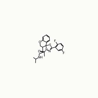 CC(=O)N1N=C(c2cc(F)ccc2F)SC12c1ccccc1OCC2CCNC(C)C